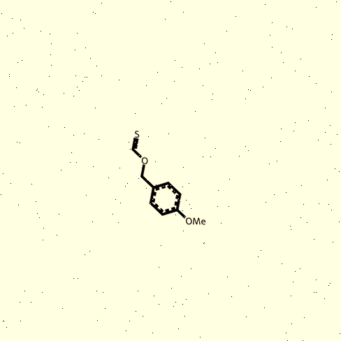 COc1ccc(CO[C]=S)cc1